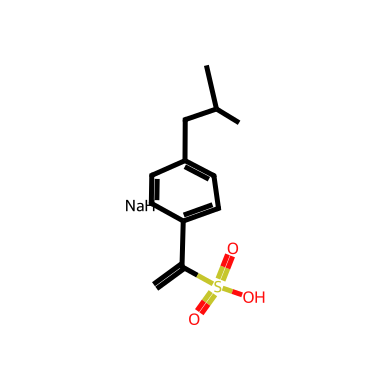 C=C(c1ccc(CC(C)C)cc1)S(=O)(=O)O.[NaH]